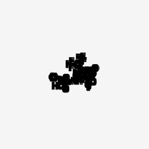 CCOC(=O)N1c2ccc(OC)nc2[C@@H](NC(c2cc(C(F)(F)F)cc(C(F)(F)F)c2)c2ncc(NCCC(C(=O)O)C(=O)OCc3ccccc3)cn2)C[C@H]1CC